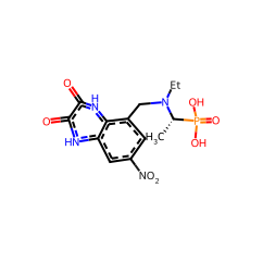 CCN(Cc1cc([N+](=O)[O-])cc2[nH]c(=O)c(=O)[nH]c12)[C@@H](C)P(=O)(O)O